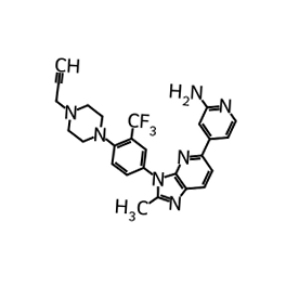 C#CCN1CCN(c2ccc(-n3c(C)nc4ccc(-c5ccnc(N)c5)nc43)cc2C(F)(F)F)CC1